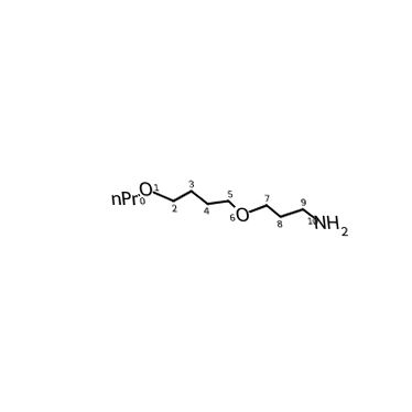 CCCOCCCCOCCCN